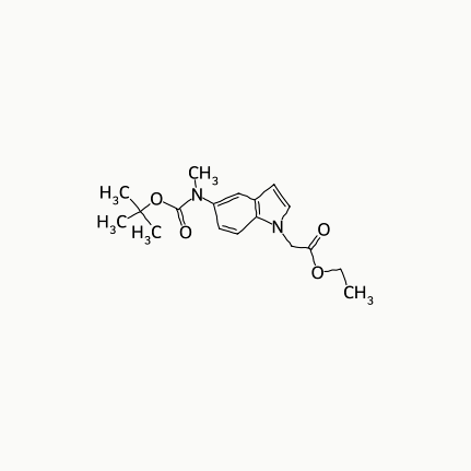 CCOC(=O)Cn1ccc2cc(N(C)C(=O)OC(C)(C)C)ccc21